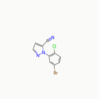 N#Cc1ccnn1-c1cc(Br)ccc1Cl